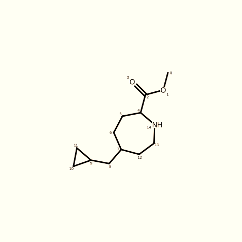 COC(=O)C1CCC(CC2CC2)CCN1